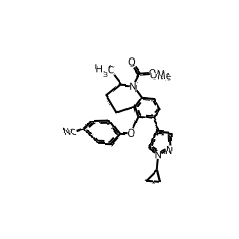 COC(=O)N1c2ccc(-c3cnn(C4CC4)c3)c(Oc3ccc(C#N)cc3)c2CCC1C